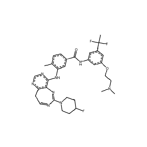 Cc1ccc(C(=O)Nc2cc(OCCN(C)C)cc(C(C)(F)F)c2)cc1Nc1ncnc2c1N=C(N1CCC(F)CC1)N=CC2